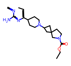 C=N/C(N)=N\C(=C/C)C1CCN(C2CC3(CCN(C(=O)OCC)C3)C2)CC1